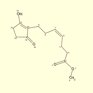 COC(=O)CC/C=C\CCC1=C(O)CCC1=O